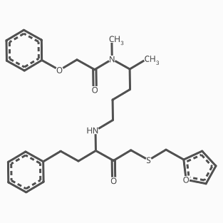 CC(CCCNC(CCc1ccccc1)C(=O)CSCc1ccco1)N(C)C(=O)COc1ccccc1